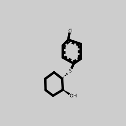 O[C@H]1CCCC[C@@H]1Sc1ccc(Cl)cc1